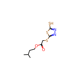 CC(C)CCOC(=O)CSc1nnc(S)s1